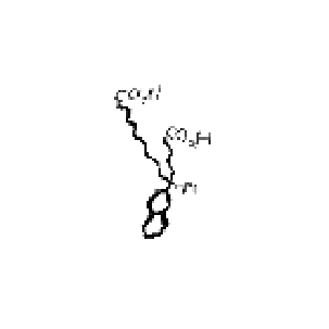 CCCC(CCCCCCCCCC(=O)O)(CCCCC(=O)O)c1ccc2ccccc2c1